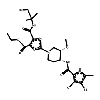 CCOC(=O)c1sc(N2CC[C@@H](NC(=O)c3[nH]c(C)c(Cl)c3Cl)[C@@H](OC)C2)nc1C(=O)NC(C)(C)CO